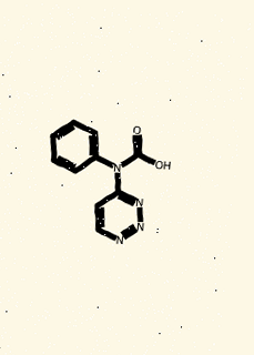 O=C(O)N(c1ccccc1)c1ccnnn1